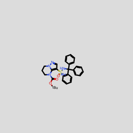 CC(C)(C)OC(=O)N1CCCn2ncc(S(=N)(=O)NC(c3ccccc3)(c3ccccc3)c3ccccc3)c21